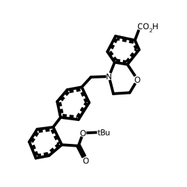 CC(C)(C)OC(=O)c1ccccc1-c1ccc(CN2CCOc3cc(C(=O)O)ccc32)cc1